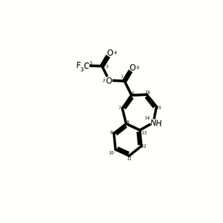 O=C(OC(=O)C(F)(F)F)C1=Cc2ccccc2NC=C1